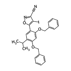 CC(C)c1cc(-c2onc(C#N)c2I)c(OCc2ccccc2)cc1OCc1ccccc1